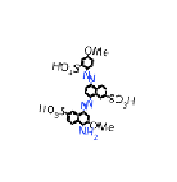 COc1ccc(N=Nc2ccc(N=Nc3cc(OC)c(N)c4ccc(S(=O)(=O)O)cc34)c3cc(S(=O)(=O)O)ccc23)c(S(=O)(=O)O)c1